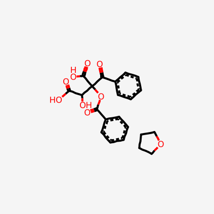 C1CCOC1.O=C(OC(C(=O)O)(C(=O)c1ccccc1)C(O)C(=O)O)c1ccccc1